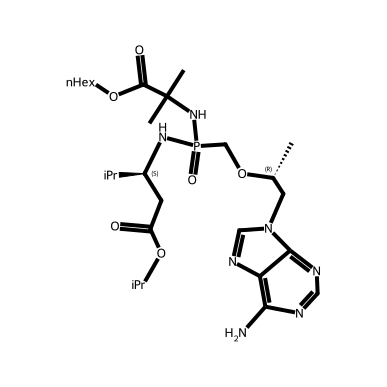 CCCCCCOC(=O)C(C)(C)NP(=O)(CO[C@H](C)Cn1cnc2c(N)ncnc21)N[C@@H](CC(=O)OC(C)C)C(C)C